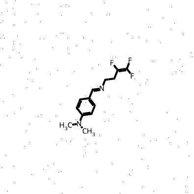 CN(C)c1ccc(C=NCCC(F)=C(F)F)cc1